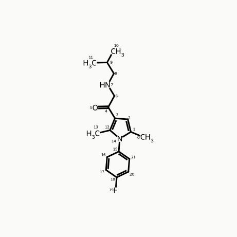 Cc1cc(C(=O)CNCC(C)C)c(C)n1-c1ccc(F)cc1